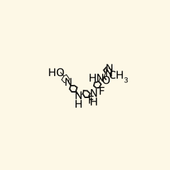 Cn1nccc1C(=O)Nc1ccc(Nc2ccc(Nc3ccc(N4CCC(O)CC4)cc3)cc2F)c(F)c1